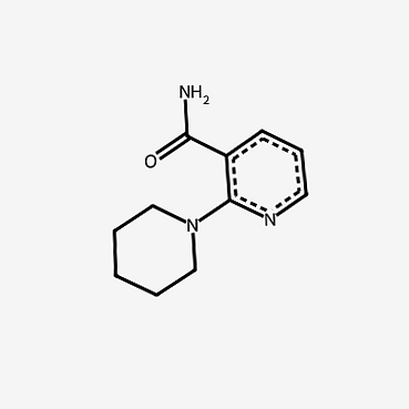 NC(=O)c1cccnc1N1CCCCC1